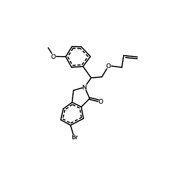 C=CCOCC(c1cccc(OC)c1)N1Cc2ccc(Br)cc2C1=O